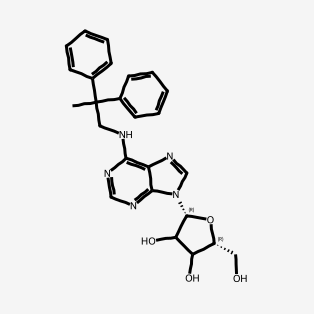 CC(CNc1ncnc2c1ncn2[C@@H]1O[C@H](CO)C(O)C1O)(c1ccccc1)c1ccccc1